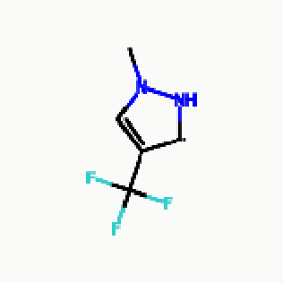 CN1C=C(C(F)(F)F)[CH]N1